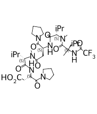 CC(C)[C@@H](C(=O)N[C@@H](CC(=O)O)C(=O)N1CCCC1)N(C)C(=O)C[C@H](NC(=O)[C@H](C(C)C)N(C)C(=O)[C@@](C)(NC(=O)C(F)(F)F)C(C)C)C(=O)N1CCCC1